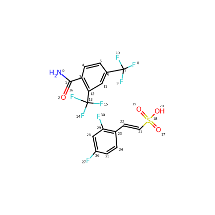 NC(=O)c1ccc(C(F)(F)F)cc1C(F)(F)F.O=S(=O)(O)/C=C/c1ccc(F)cc1F